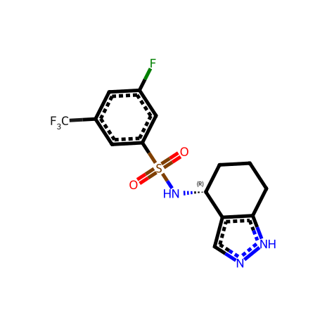 O=S(=O)(N[C@@H]1CCCc2[nH]ncc21)c1cc(F)cc(C(F)(F)F)c1